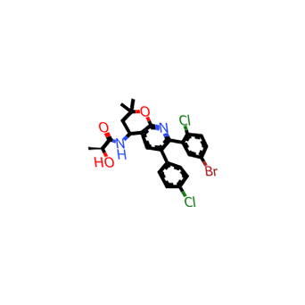 C[C@H](O)C(=O)NC1CC(C)(C)Oc2nc(-c3cc(Br)ccc3Cl)c(-c3ccc(Cl)cc3)cc21